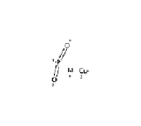 O=[P]=O.[Cu].[Ni]